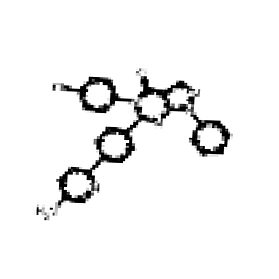 Nc1ccc(-c2ccc(-c3nc4c(cnn4-c4c[c]ccc4)c(=O)n3-c3ccc(Cl)cc3)cc2)nc1